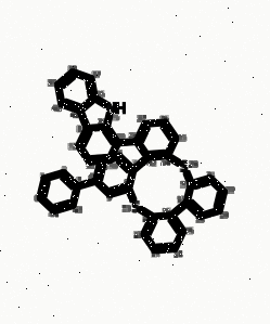 c1ccc(-c2ccc3c(c2)Sc2ccccc2-c2ccccc2Sc2cccc(-c4cccc5c4[nH]c4ccccc45)c2-3)cc1